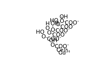 O=C([O-])OO.O=C([O-])OO.O=C([O-])OO.O=C([O-])OO.O=C([O-])OO.O=C([O-])OO.[Ce+3].[Gd+3]